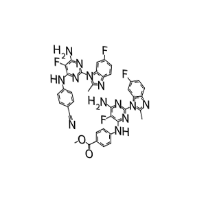 COC(=O)c1ccc(Nc2nc(-n3c(C)nc4ccc(F)cc43)nc(N)c2F)cc1.Cc1nc2ccc(F)cc2n1-c1nc(N)c(F)c(Nc2ccc(C#N)cc2)n1